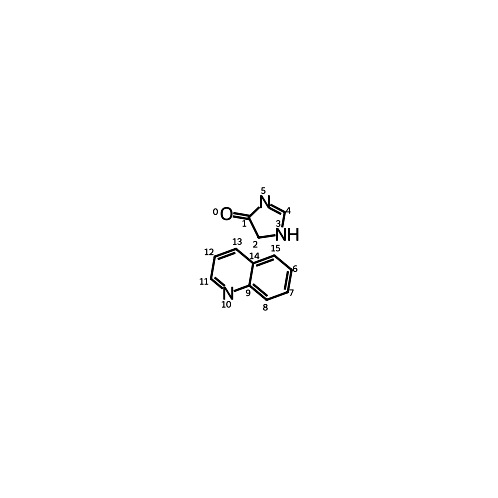 O=C1CNC=N1.c1ccc2ncccc2c1